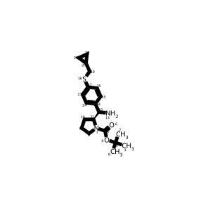 CC(C)(C)OC(=O)N1CCC[C@H]1C(N)c1ccc(SCC2CC2)cc1